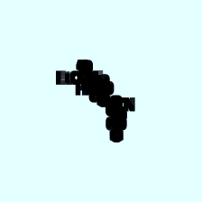 CCOC(=O)C1(F)C(=O)N(C(=O)c2cccc(C(=O)Oc3nc(OC(=O)c4ccccc4)ccc3C#N)c2)C(=O)NC1O/N=C/c1ccco1